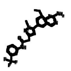 CCc1cc(-c2cc(CC(=O)Nc3cccc(C(F)(F)F)c3)nn2C)cc2cnc(N)nc12